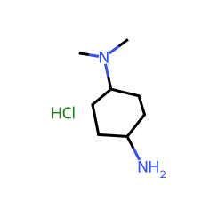 CN(C)C1CCC(N)CC1.Cl